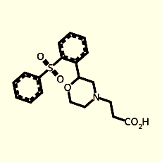 O=C(O)CCN1CCOC(c2ccccc2S(=O)(=O)c2ccccc2)C1